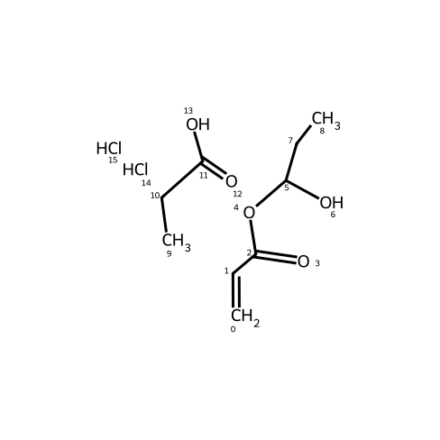 C=CC(=O)OC(O)CC.CCC(=O)O.Cl.Cl